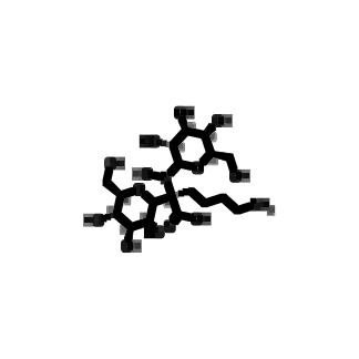 NCCCC[C@](C(=O)O)(C1O[C@H](CO)[C@@H](O)[C@H](O)[C@H]1O)N(O)C1O[C@H](CO)[C@H](O)[C@H](O)[C@H]1O